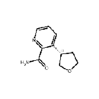 NC(=O)c1ncccc1[C@@H]1CCOC1